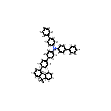 CC1(C)c2ccccc2-c2c(-c3ccc(-c4ccc(N(c5ccc(-c6ccccc6)cc5)c5ccc(-c6ccccc6)cc5)cc4)cc3)cccc21